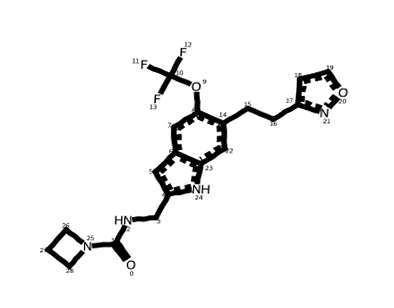 O=C(NCc1cc2cc(OC(F)(F)F)c(CCc3ccon3)cc2[nH]1)N1CCC1